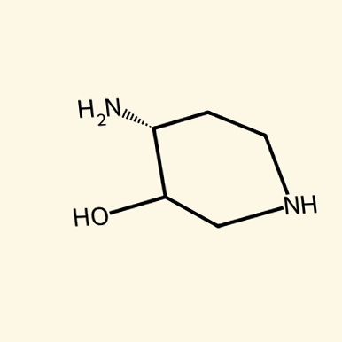 N[C@@H]1CCNCC1O